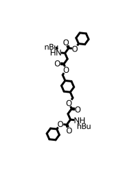 CCCCNC(CC(=O)OCC1CCC(COC(=O)CC(NCCCC)C(=O)OC2CCCCC2)CC1)C(=O)OC1CCCCC1